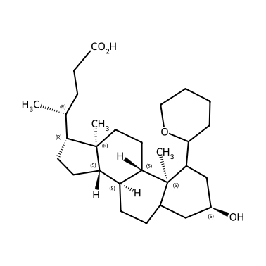 C[C@H](CCC(=O)O)[C@H]1CC[C@H]2[C@@H]3CCC4C[C@H](O)CC(C5CCCCO5)[C@]4(C)[C@H]3CC[C@]12C